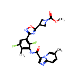 COC(=O)N1CC(c2nc(-c3cc(F)c(C)c(NC(=O)c4cnc5ccc(C)cn45)c3F)no2)C1